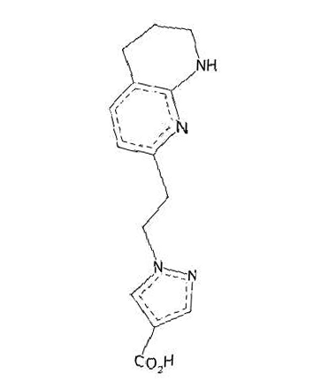 O=C(O)c1cnn(CCc2ccc3c(n2)NCCC3)c1